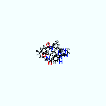 CC(C)(C)c1ccc(C(=O)N2CCc3c(-c4cn5ccnc5c(Nc5ccc(C(=O)N6CCOCC6)cc5)n4)cccc32)cc1